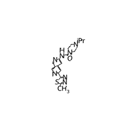 Cc1nnc(-c2cc3cc(NC(=O)N4CCN(C(C)C)CC4)ncc3cn2)s1